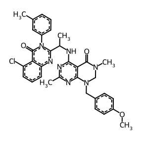 COc1ccc(CN2CN(C)C(=O)c3c(NC(C)c4nc5cccc(Cl)c5c(=O)n4-c4cccc(C)c4)nc(C)nc32)cc1